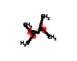 C=CCCCCCOCc1cc(C(=O)OCCCCC=C)cc(-c2ccc(C3=CC(C(=O)OCCCCCC)=CC(C(=O)OCCCCC=C)=CC3)s2)c1